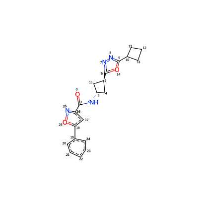 O=C(N[C@H]1C[C@H](c2nnc(C3CCC3)o2)C1)c1cc(-c2ccccc2)on1